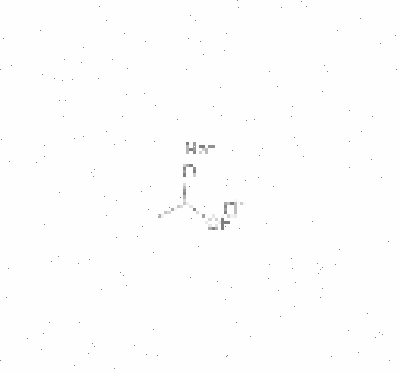 CC(=O)O.[Cl-].[Na+]